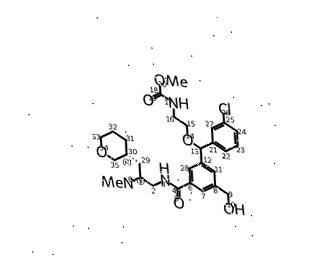 CN[C@H](CNC(=O)c1cc(CO)cc(C(OCCNC(=O)OC)c2cccc(Cl)c2)c1)C[C@H]1CCCOC1